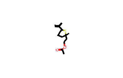 C=C(C)C1CCC(C)(CCOC(C)=O)S1